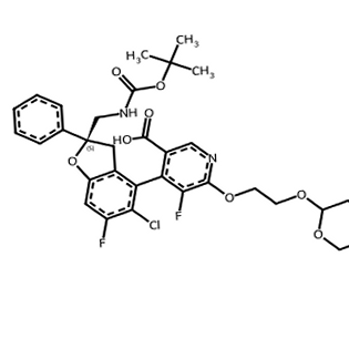 CC(C)(C)OC(=O)NC[C@@]1(c2ccccc2)Cc2c(cc(F)c(Cl)c2-c2c(C(=O)O)cnc(OCCOC3CCCCO3)c2F)O1